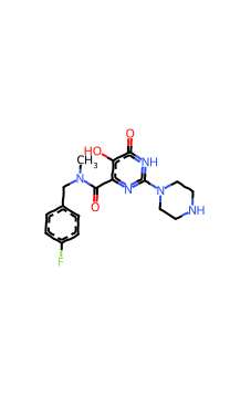 CN(Cc1ccc(F)cc1)C(=O)c1nc(N2CCNCC2)[nH]c(=O)c1O